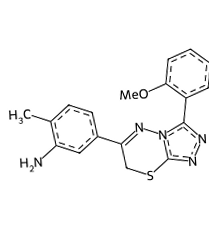 COc1ccccc1-c1nnc2n1N=C(c1ccc(C)c(N)c1)CS2